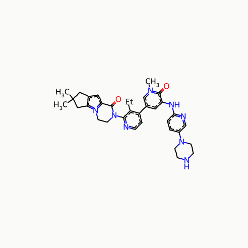 CCc1c(-c2cc(Nc3ccc(N4CCNCC4)cn3)c(=O)n(C)c2)ccnc1N1CCn2c(cc3c2CC(C)(C)C3)C1=O